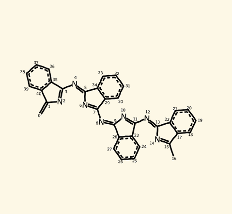 C=C1N=C(/N=C2N=C(/N=C3N=C(/N=C4\N=C(C)c5ccccc54)c4ccccc4\3)c3ccccc3\2)c2ccccc21